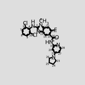 Cn1c(Nc2c(Cl)cccc2Cl)nc2cc(C(=O)Nc3cc(N4CCCC4)ccn3)c(F)cc21